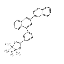 CC1(C)OB(c2cccc(-c3cc(-c4ccc5ccccc5c4)cc4ccccc34)c2)OC1(C)C